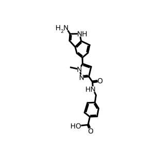 Cn1nc(C(=O)NCc2ccc(C(=O)O)cc2)cc1-c1ccc2[nH]c(N)cc2c1